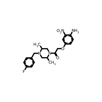 CC1CN(C(=O)COc2ccc(N)c([N+](=O)[O-])c2)C(C)CN1Cc1ccc(F)cc1